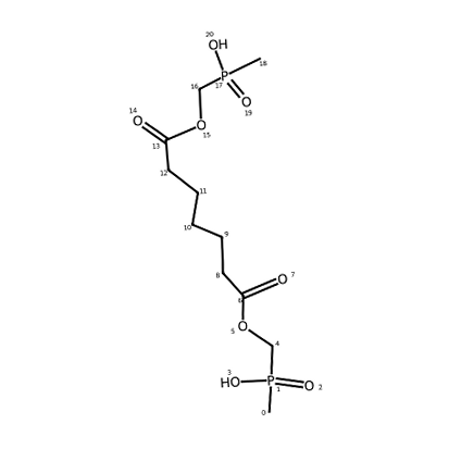 CP(=O)(O)COC(=O)CCCCCC(=O)OCP(C)(=O)O